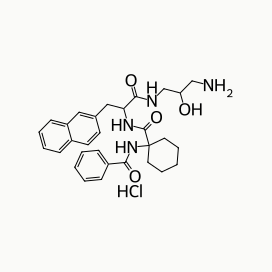 Cl.NCC(O)CNC(=O)C(Cc1ccc2ccccc2c1)NC(=O)C1(NC(=O)c2ccccc2)CCCCC1